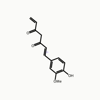 C=CC(=O)CC(=O)/C=C/c1ccc(O)c(OC)c1